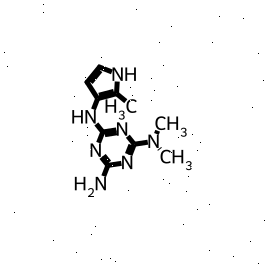 Cc1[nH]ccc1Nc1nc(N)nc(N(C)C)n1